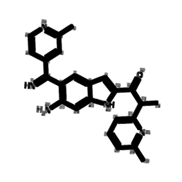 Cc1cc(C(=N)c2cc3cc(C(=O)C(C)c4cccc(C)n4)[nH]c3cc2N)ccn1